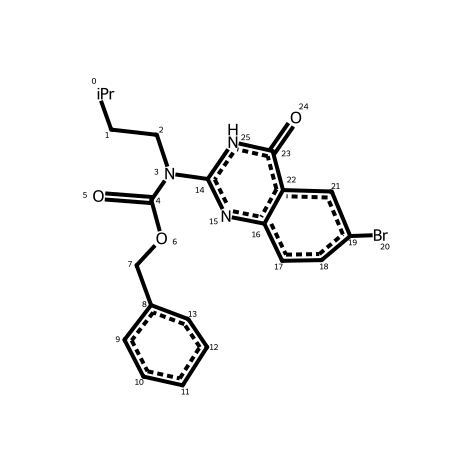 CC(C)CCN(C(=O)OCc1ccccc1)c1nc2ccc(Br)cc2c(=O)[nH]1